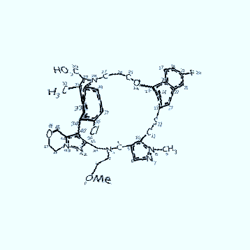 COCCN1Cc2cnn(C)c2CSc2cc(c3ccc(F)cc3c2)OCCCn2c(C(=O)O)c(C)c3c(c(Cl)ccc32)-c2c(nn3c2COCC3)C1